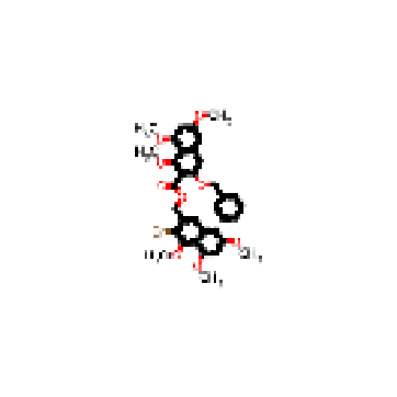 COc1cc(OC)c2c(OC)c(Br)c(COC(=O)c3c(OCc4ccccc4)cc4cc(OC)cc(OC)c4c3OC)cc2c1